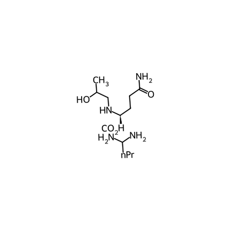 CC(O)CN[C@@H](CCC(N)=O)C(=O)O.CCCC(N)N